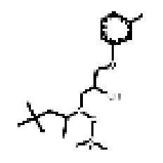 CC(CC(C)(C)C)N(CC(O)COc1cccc(F)c1)O[SiH](C)C